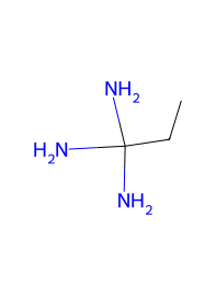 CCC(N)(N)N